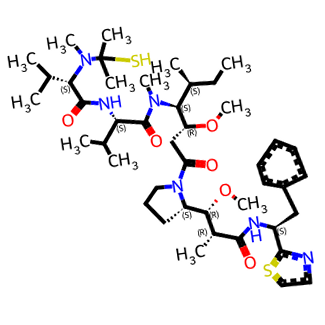 CC[C@H](C)[C@@H]([C@@H](CC(=O)N1CCC[C@H]1[C@H](OC)[C@@H](C)C(=O)N[C@@H](Cc1ccccc1)c1nccs1)OC)N(C)C(=O)[C@@H](NC(=O)[C@H](C(C)C)N(C)C(C)(C)S)C(C)C